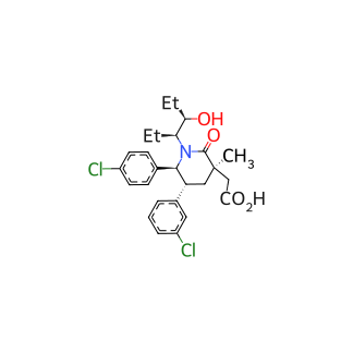 CC[C@@H](O)[C@H](CC)N1C(=O)[C@@](C)(CC(=O)O)C[C@H](c2cccc(Cl)c2)[C@H]1c1ccc(Cl)cc1